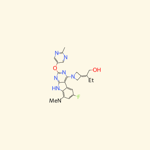 CCC(CO)=C1CN(c2nc(Oc3cnc(C)nc3)nc3[nH]c4c(NC)cc(F)cc4c23)C1